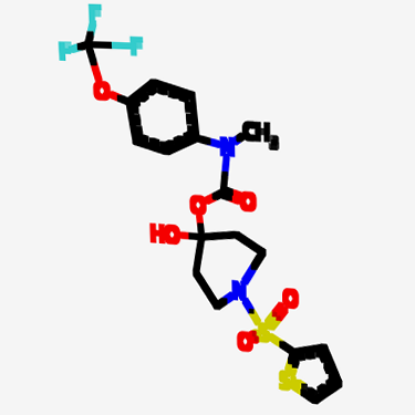 CN(C(=O)OC1(O)CCN(S(=O)(=O)c2cccs2)CC1)c1ccc(OC(F)(F)F)cc1